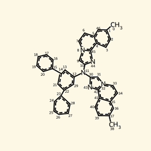 Cc1ccc2c(ccn3cc(N(c4cc(-c5ccccc5)cc(-c5ccccc5)c4)c4cn5ccc6cc(C)ccc6c5n4)nc23)c1